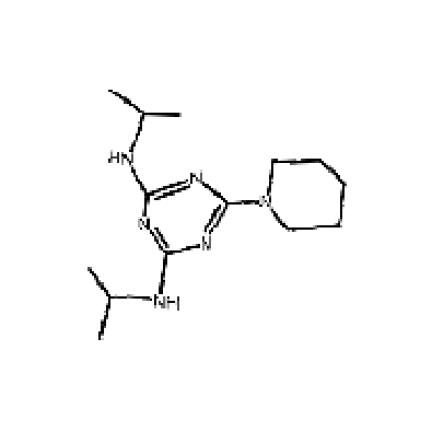 CC(C)Nc1nc(NC(C)C)nc(N2CCCCC2)n1